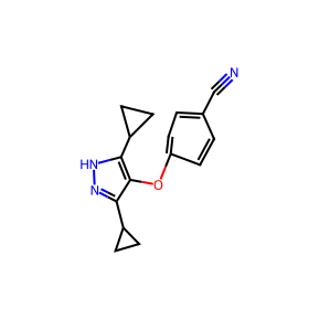 N#Cc1ccc(Oc2c(C3CC3)n[nH]c2C2CC2)cc1